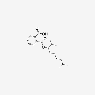 CC(C)CCCCC(OC(=O)c1ccccc1C(=O)O)C(C)C